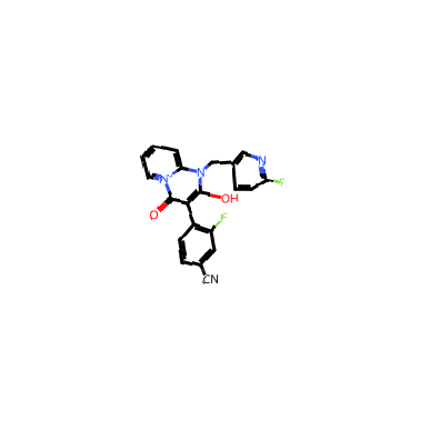 N#Cc1ccc(-c2c(O)n(Cc3ccc(F)nc3)c3cccc[n+]3c2=O)c(F)c1